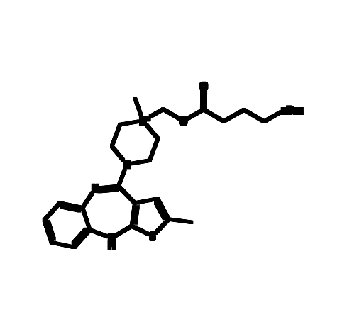 CCCCCCCCCCCCCC(=O)OC[N+]1(C)CCN(C2=Nc3ccccc3Nc3sc(C)cc32)CC1